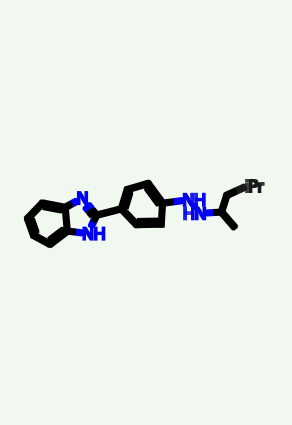 CC(C)CC(C)NNc1ccc(-c2nc3ccccc3[nH]2)cc1